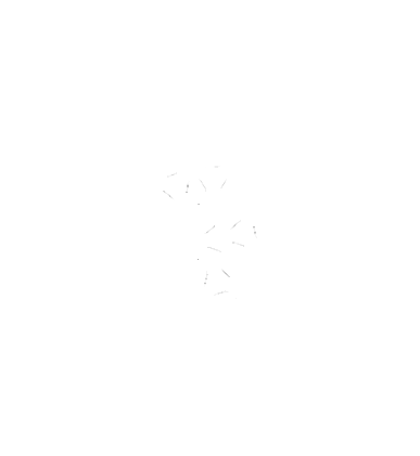 COc1ccc(C2(c3ccccc3)CCc3c4c(c5ccccc5c3O2)-c2cc(F)cc(C)c2C4(C)C)cc1